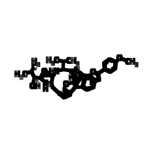 COc1ccc(-c2cnc(-c3nc4oc3C35c6ccccc6NC3Oc3ccc(cc35)C[C@H](NC(=O)[C@@H](O)C(C)C)C(=O)NC4C(C)C)o2)cc1